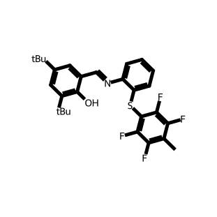 Cc1c(F)c(F)c(Sc2ccccc2/N=C/c2cc(C(C)(C)C)cc(C(C)(C)C)c2O)c(F)c1F